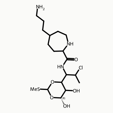 CSC1OC(C(NC(=O)C2CCC(CCCN)CCN2)C(C)Cl)C(O)[C@H](O)O1